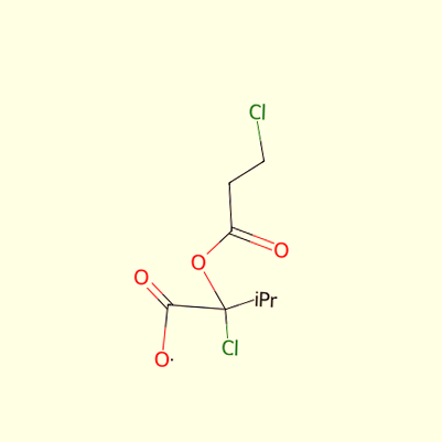 CC(C)C(Cl)(OC(=O)CCCl)C([O])=O